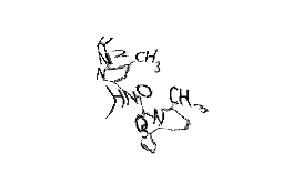 Cc1cc(NC(=O)C(=O)N2C[C@H](C)CCC[C@H]2c2cccs2)cnc1N